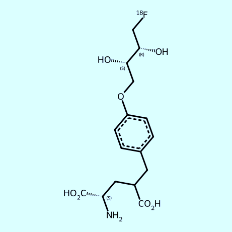 N[C@@H](CC(Cc1ccc(OC[C@H](O)[C@@H](O)C[18F])cc1)C(=O)O)C(=O)O